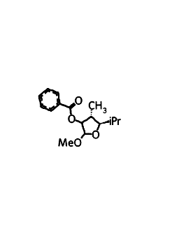 COC1O[C@H](C(C)C)[C@@H](C)C1OC(=O)c1ccccc1